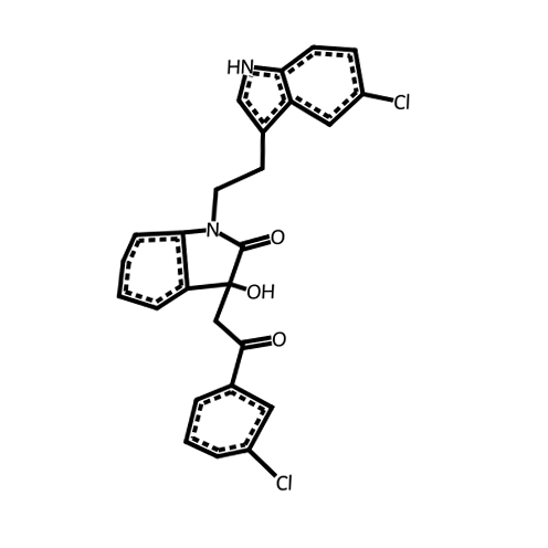 O=C(CC1(O)C(=O)N(CCc2c[nH]c3ccc(Cl)cc23)c2ccccc21)c1cccc(Cl)c1